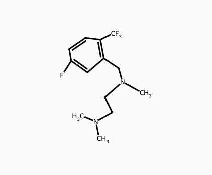 CN(C)CCN(C)Cc1cc(F)ccc1C(F)(F)F